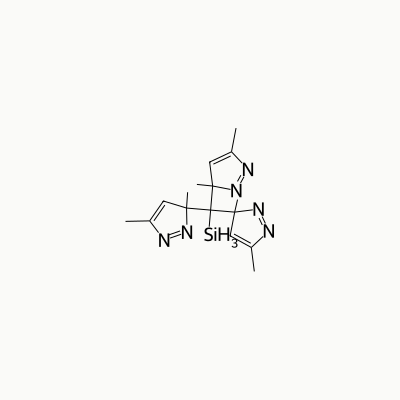 CC1=CC(C)(C([SiH3])(C2(C)C=C(C)N=N2)C2(C)C=C(C)N=N2)N=N1